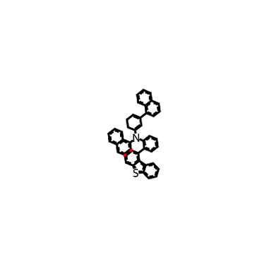 c1cc2sc3ccccc3c2c(-c2ccccc2N(C2=CC(c3cccc4ccccc34)=CCC2)c2cccc3ccccc23)c#1